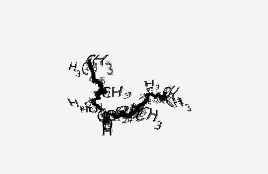 CC(C)=CCCC(C)=CCCC(C)=CC(O)CO[PH](=O)OCC(O)C=C(C)CCC=C(C)CCC=C(C)C